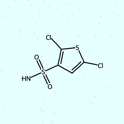 [NH]S(=O)(=O)c1cc(Cl)sc1Cl